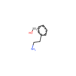 NCCc1ccccc1.O=S(=O)(O)O